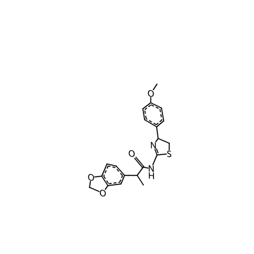 COc1ccc(C2CSC(NC(=O)C(C)c3ccc4c(c3)OCO4)=N2)cc1